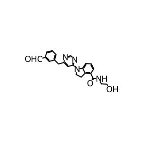 O=Cc1cccc(Cc2cc(N3CCc4c(C(=O)NCCO)cccc43)ncn2)c1